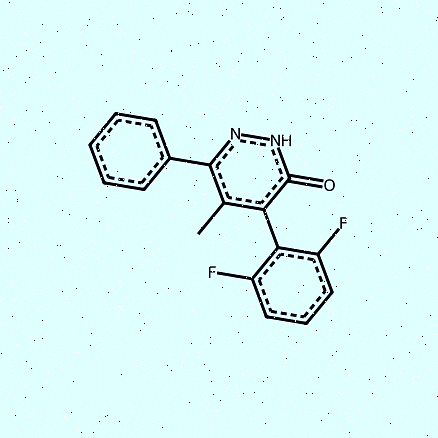 Cc1c(-c2ccccc2)n[nH]c(=O)c1-c1c(F)cccc1F